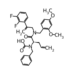 C=CC[C@H](C(=O)N(CC(=C)c1cccc(F)c1F)Cc1ccc(OC)cc1OC)N(Cc1ccccc1)C(=O)O